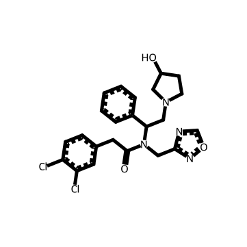 O=C(Cc1ccc(Cl)c(Cl)c1)N(Cc1ncon1)C(CN1CCC(O)C1)c1ccccc1